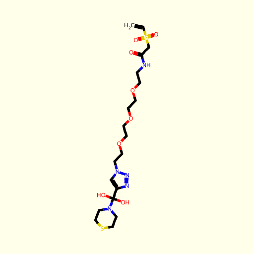 C=CS(=O)(=O)CC(=O)NCCOCCOCCOCCn1cc(C(O)(O)N2CCSCC2)nn1